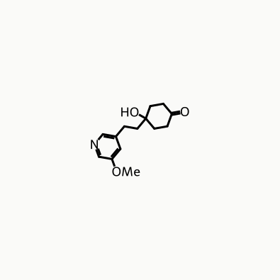 COc1cncc(CCC2(O)CCC(=O)CC2)c1